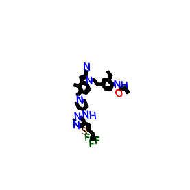 C=CC(=O)Nc1ccc(CCn2c(C#N)cc3c(C)c(CN4CCC(Nc5ncnc6sc(CC(F)(F)F)cc56)CC4)ccc32)cc1CC